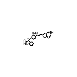 O=C1Nc2ccccc2[C@]12C[C@H]2c1ccc2c(C=Cc3ccc4c(c3)CNCCO4)n[nH]c2c1